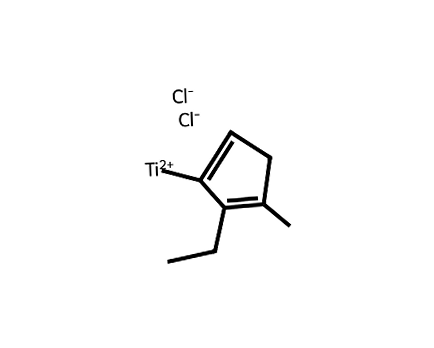 CCC1=C(C)CC=[C]1[Ti+2].[Cl-].[Cl-]